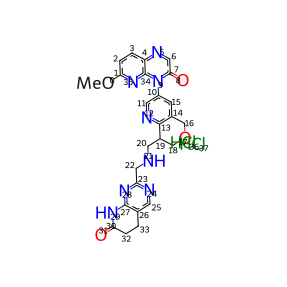 COc1ccc2ncc(=O)n(-c3cnc4c(c3)COCC4CNCc3ncc4c(n3)NC(=O)CC4)c2n1.Cl.Cl